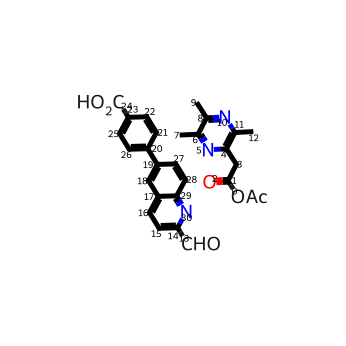 CC(=O)OC(=O)Cc1nc(C)c(C)nc1C.O=Cc1ccc2cc(-c3ccc(C(=O)O)cc3)ccc2n1